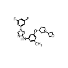 Cc1cc(Nc2ncn(-c3cc(F)cc(F)c3)n2)cc(O[C@@H]2CCN(C3COC3)C2)c1